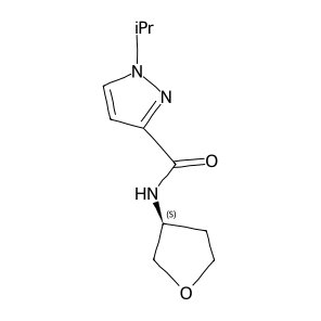 CC(C)n1ccc(C(=O)N[C@H]2CCOC2)n1